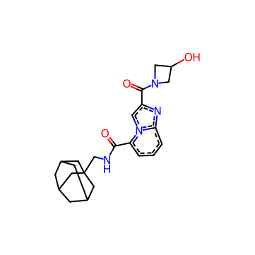 O=C(NCC12CC3CC(CC(C3)C1)C2)c1cccc2nc(C(=O)N3CC(O)C3)cn12